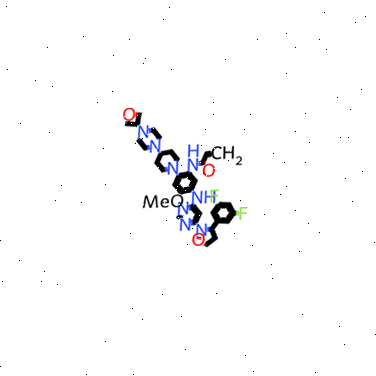 C=CC(=O)Nc1cc(Nc2cc(N3OCCC3c3cc(F)cc(F)c3)ncn2)c(OC)cc1N1CCC(N2CCN(C3COC3)CC2)CC1